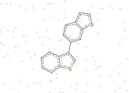 [c]1cccc2c(-c3ccc4ccsc4c3)csc12